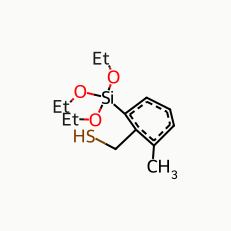 CCO[Si](OCC)(OCC)c1cccc(C)c1CS